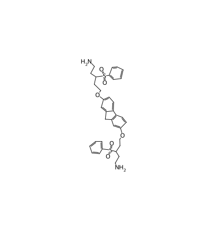 NCCC(CCOc1ccc2c(c1)Cc1cc(OCCC(CCN)S(=O)(=O)c3ccccc3)ccc1-2)S(=O)(=O)c1ccccc1